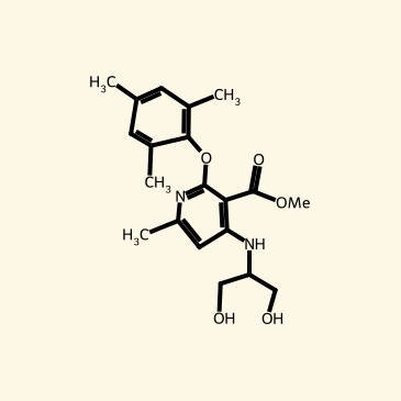 COC(=O)c1c(NC(CO)CO)cc(C)nc1Oc1c(C)cc(C)cc1C